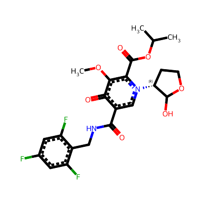 COc1c(C(=O)OC(C)C)n([C@@H]2CCOC2O)cc(C(=O)NCc2c(F)cc(F)cc2F)c1=O